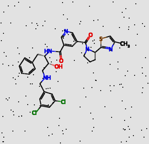 Cc1csc(C2CCCN2C(=O)c2cncc(C(=O)N[C@@H](Cc3ccccc3)[C@H](O)CNCc3cc(Cl)cc(Cl)c3)c2)n1